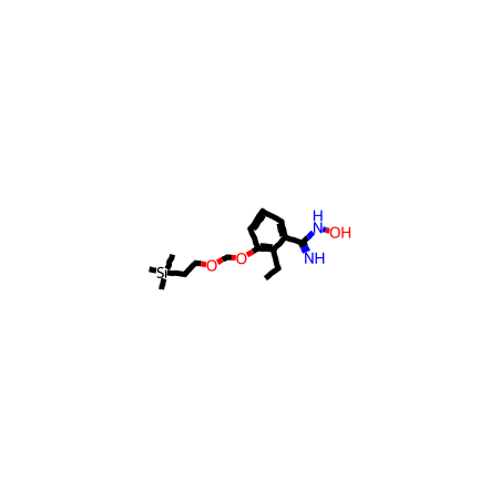 CCc1c(OCOCC[Si](C)(C)C)cccc1C(=N)NO